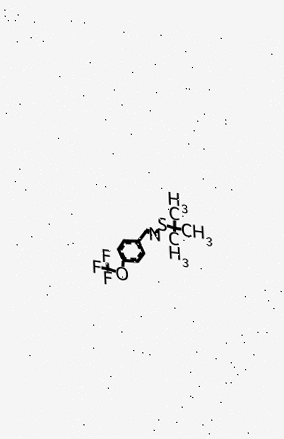 CC(C)(C)SN=Cc1ccc(OC(F)(F)F)cc1